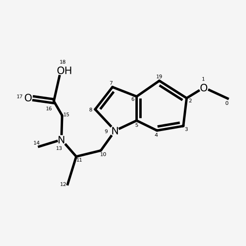 COc1ccc2c(ccn2CC(C)N(C)CC(=O)O)c1